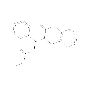 CC(C)(C)OC(=O)N[C@@H](c1ccccc1)[C@@H]1Nc2ncccc2NC1=O